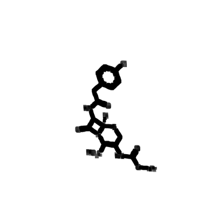 CCCOC(=O)NC1=C(C(=O)O)N2C(=O)C(NC(=O)Cc3ccc(Cl)cc3)[C@H]2SC1